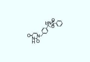 CC(C)(NS(=O)(=O)c1ccccc1)c1ccc(Cn2ccc(=O)[nH]c2=O)cc1